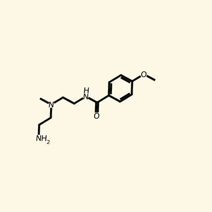 COc1ccc(C(=O)NCCN(C)CCN)cc1